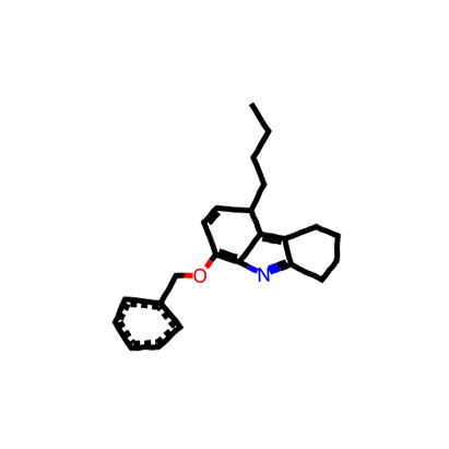 CCCCC1C=CC(OCc2ccccc2)=C2N=C3CCCCC3=C21